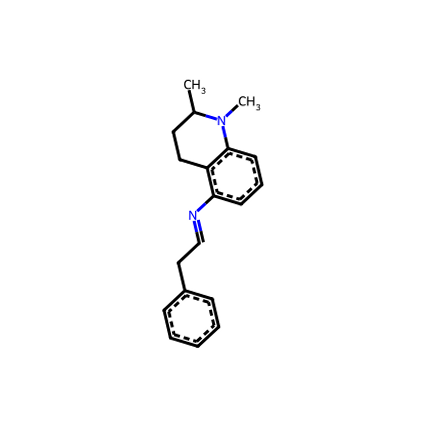 CC1CCc2c(/N=C/Cc3ccccc3)cccc2N1C